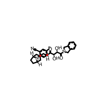 N#Cc1cc(F)ccc1N1[C@@H]2CC[C@H]1CC(CNC(=O)[C@H](O)[C@@H](O)C(=O)N1Cc3ccccc3C1)C2